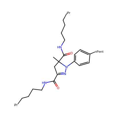 CCCCCc1ccc(N2N=C(C(=O)NCCCCC(C)C)CC2(C)C(=O)NCCCCC(C)C)cc1